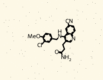 COc1ccc(CNc2c(CCC(N)=O)cnc3ccc(C#N)cc23)cc1Cl